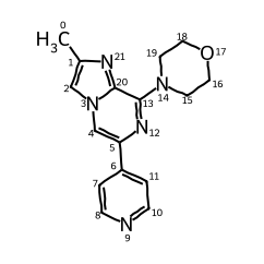 Cc1cn2cc(-c3ccncc3)nc(N3CCOCC3)c2n1